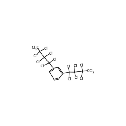 ClC(Cl)(Cl)C(Cl)(Cl)C(Cl)(Cl)C(Cl)(Cl)c1[c]ccc(C(Cl)(Cl)C(Cl)(Cl)C(Cl)(Cl)C(Cl)(Cl)Cl)c1